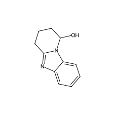 OC1CCCc2nc3ccccc3n21